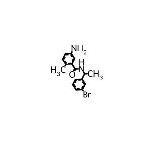 Cc1ccc(N)cc1C(=O)NC(C)c1cccc(Br)c1